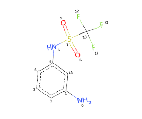 Nc1cccc(NS(=O)(=O)C(F)(F)F)c1